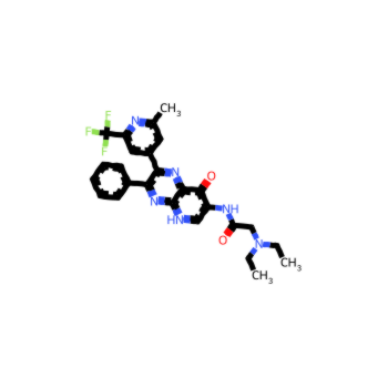 CCN(CC)CC(=O)Nc1c[nH]c2nc(-c3ccccc3)c(-c3cc(C)nc(C(F)(F)F)c3)nc2c1=O